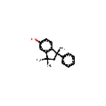 CC1(C)CC(C)(c2ccccc2)c2ccc(O)cc21